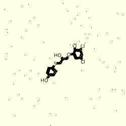 Oc1ccc(SCC(O)COc2cc(Cl)cc(Cl)c2Cl)cc1